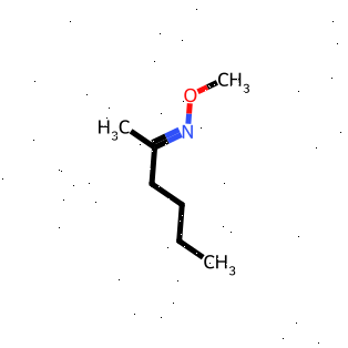 CCCCC(C)=NOC